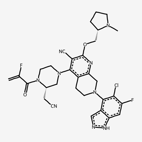 C=C(F)C(=O)N1CCN(c2c(C#N)c(OC[C@@H]3CCCN3C)nc3c2CCN(c2c(Cl)c(F)cc4[nH]ncc24)C3)C[C@@H]1CC#N